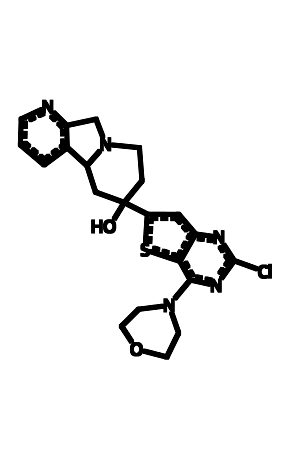 OC1(c2cc3nc(Cl)nc(N4CCOCC4)c3s2)CCN2Cc3ncccc3C2C1